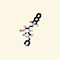 CC(C)C[C@H](N[C@H](CCN1C(=O)c2cc3ccccc3cc2C1=O)C(=O)OC(C)(C)C)C(=O)NCc1ccncc1